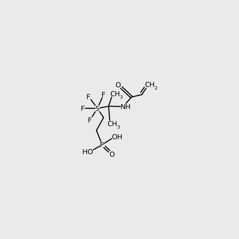 C=CC(=O)NC(C)(C)S(F)(F)(F)(F)CCP(=O)(O)O